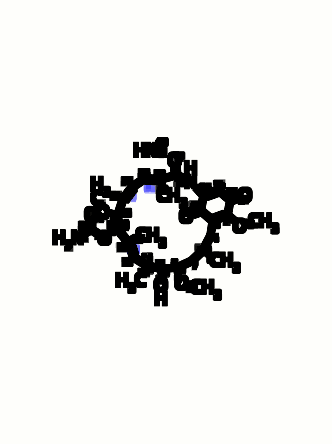 COC1=C2C[C@@H](C)C[C@H](OC)[C@H](O)[C@@H](C)/C=C(\C)[C@H](OC(N)=O)[C@@H](OC)/C=C\C=C(/C)C(=O)NC(=CC1=O)C2=O.[NaH]